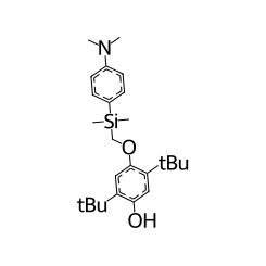 CN(C)c1ccc([Si](C)(C)COc2cc(C(C)(C)C)c(O)cc2C(C)(C)C)cc1